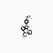 OCC(O)c1ccnc2c1c(N1CCCCC1)nn2-c1ccc(OC(F)(F)F)cc1